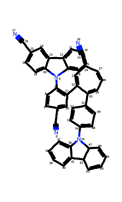 N#Cc1ccc(-n2c3ccccc3c3cc(C#N)ccc32)c(C2=CC(C#N)C=CC=C2c2ccc(N3c4ccccc4C4C=CC=CC43)cc2)c1